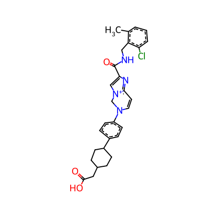 Cc1cccc(Cl)c1CNC(=O)C1=C[N+]2CN(c3ccc(C4CCC(CC(=O)O)CC4)cc3)C=CC2=N1